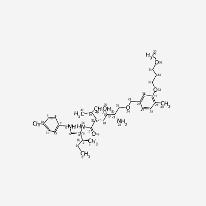 CC[C@H](C)[C@@H](CNc1ccc(Cl)cc1)NC(=O)[C@@H](C[C@H](O)[C@@H](N)COCc1ccc(C)c(OCCCOC)c1)C(C)C